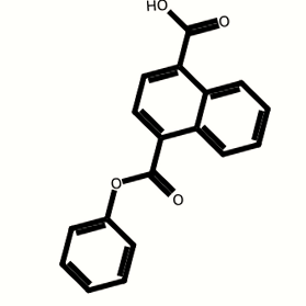 O=C(O)c1ccc(C(=O)Oc2ccccc2)c2ccccc12